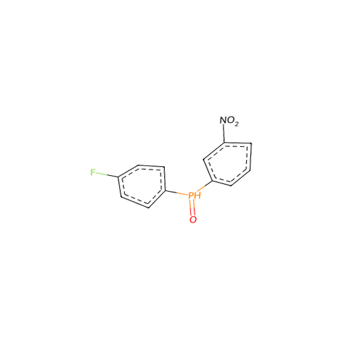 O=[N+]([O-])c1cccc([PH](=O)c2ccc(F)cc2)c1